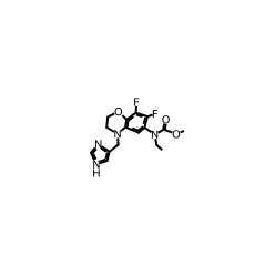 CCN(C(=O)OC)c1cc2c(c(F)c1F)OCCN2Cc1c[nH]cn1